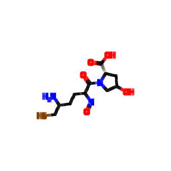 NC(CS)CCC(N=O)C(=O)N1CC(O)C[C@H]1C(=O)O